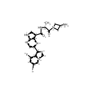 C[C@@H](NC(=O)c1c[nH]c2ncc(-c3ncn4cc(F)cc(F)c34)nc12)C(=O)N1CC(N)C1